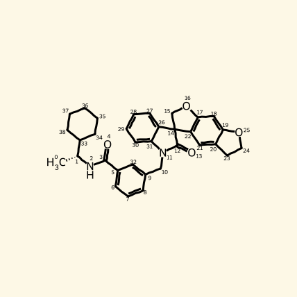 C[C@@H](NC(=O)c1cccc(CN2C(=O)C3(COc4cc5c(cc43)CCO5)c3ccccc32)c1)C1CCCCC1